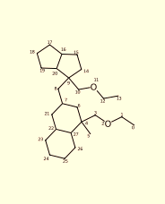 CCOCC1(C)CC(CC2(COCC)CCC3CCCC32)CC2CCCCC21